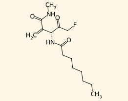 C=C(C(=O)NC)[C@@H](NC(=O)CCCCCCC)C(=O)CF